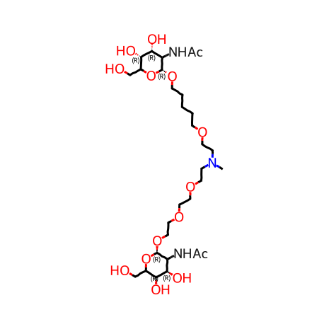 CC(=O)NC1[C@H](OCCCCCOCCN(C)CCOCCOCCO[C@@H]2OC(CO)[C@H](O)[C@H](O)C2NC(C)=O)OC(CO)[C@H](O)[C@@H]1O